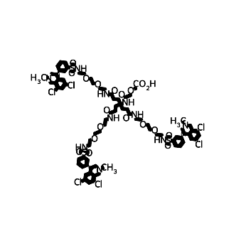 CN1Cc2c(Cl)cc(Cl)cc2[C@H](c2cccc(S(=O)(=O)NCCOCCOCCNC(=O)CCC(CCC(=O)NCCOCCOCCNS(=O)(=O)c3cccc([C@@H]4CN(C)Cc5c(Cl)cc(Cl)cc54)c3)(CCC(=O)NCCOCCOCCNS(=O)(=O)c3cccc([C@@H]4CN(C)Cc5c(Cl)cc(Cl)cc54)c3)NC(=O)COCC(=O)O)c2)C1